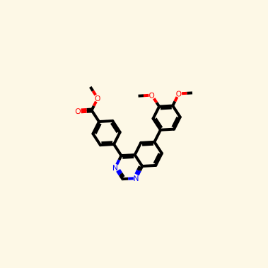 COC(=O)c1ccc(-c2ncnc3ccc(-c4ccc(OC)c(OC)c4)cc23)cc1